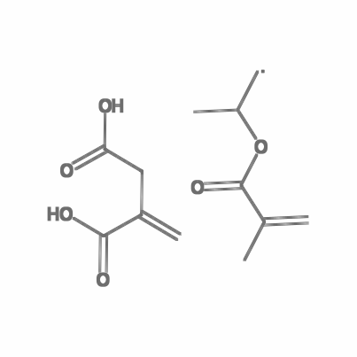 C=C(CC(=O)O)C(=O)O.[CH2]C(C)OC(=O)C(=C)C